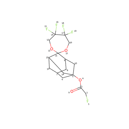 O=C(CF)OC12CC3CC(C1)C1(OCC(F)(F)C(F)(F)CO1)C(C3)C2